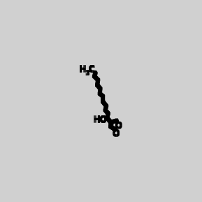 CCCCCCCCCCCCC(O)C1=CC(=O)OC1